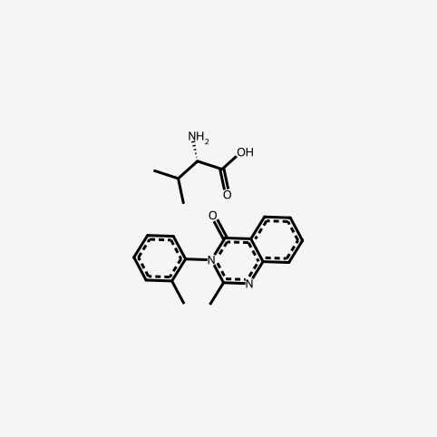 CC(C)[C@H](N)C(=O)O.Cc1ccccc1-n1c(C)nc2ccccc2c1=O